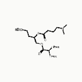 CCCCCCCCCCCCC(COC(=O)C(CCCCCC)CCCCCC)OC(=O)CCCN(C)C